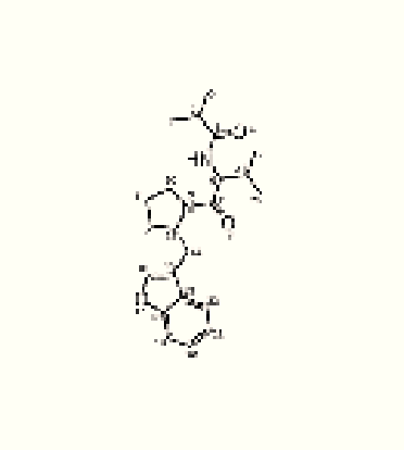 CC(C)C(=O)N[C@H](C(=O)N1CCC[C@H]1Cc1coc2ccccc12)C(C)C